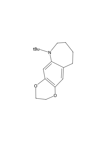 CC(C)(C)N1CCCCc2cc3c(cc21)OCCO3